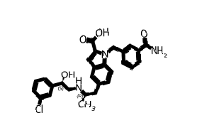 C[C@H](Cc1ccc2c(c1)cc(C(=O)O)n2Cc1cccc(C(N)=O)c1)NC[C@@H](O)c1cccc(Cl)c1